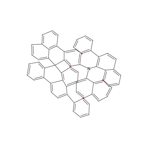 c1ccc(-c2ccc3ccccc3c2N(c2ccc3c(c2)C2(c4ccccc4-c4ccc(-c5ccccc5)c5cccc2c45)c2cccc4cccc-3c24)c2cccc3ccccc23)cc1